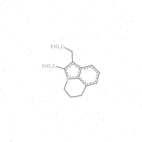 CCOC(=O)Cc1c(C(=O)OCC)n2c3c(cccc13)CCC2